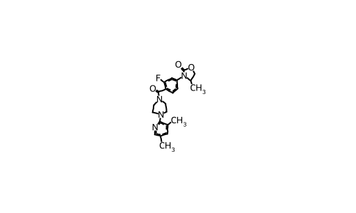 Cc1cnc(N2CCN(C(=O)c3ccc(N4C(=O)OCC4C)cc3F)CC2)c(C)c1